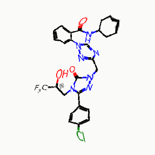 O=C(NC1CCCCC1)c1ccccc1-n1cnc(Cn2nc(-c3ccc(Cl)cc3)n(C[C@H](O)C(F)(F)F)c2=O)n1